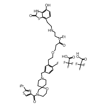 CCN(CCNCCc1ccc(O)c2[nH]c(=O)sc12)C(=O)CCOCCc1cc(CN2CCC3(CC2)CN(C(=O)c2csc(C(C)C)n2)CCO3)ccc1F.O=C(O)C(F)(F)F.O=C(O)C(F)(F)F